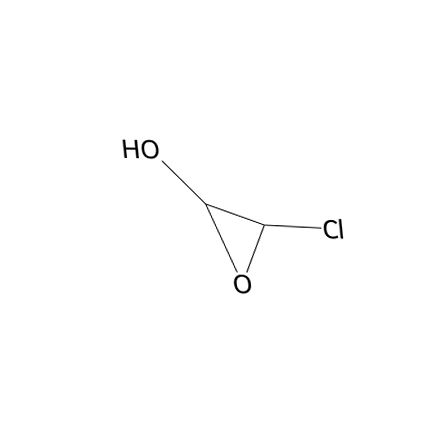 OC1OC1Cl